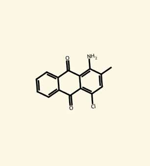 Cc1cc(Cl)c2c(c1N)C(=O)c1ccccc1C2=O